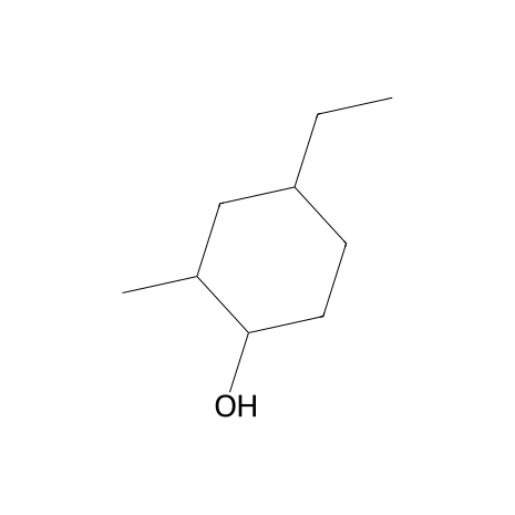 CCC1CCC(O)C(C)C1